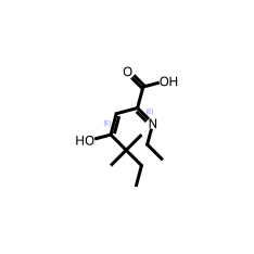 CC/N=C(\C=C(\O)C(C)(C)CC)C(=O)O